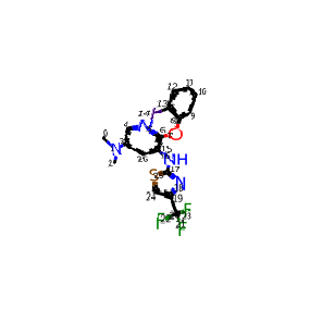 CN(C)c1cnc(Oc2ccccc2I)c(Nc2nc(C(F)(F)F)cs2)c1